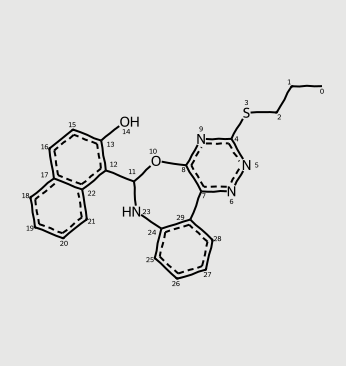 CCCSc1nnc2c(n1)OC(c1c(O)ccc3ccccc13)Nc1ccccc1-2